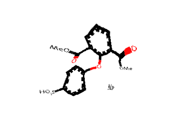 COC(=O)c1cccc(C(=O)OC)c1Oc1ccc(S(=O)(=O)O)cc1.[Na]